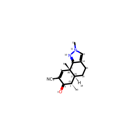 C[C@@H]1C(=O)C(C#N)=C[C@]2(C)c3nn(C)cc3CC[C@@H]12